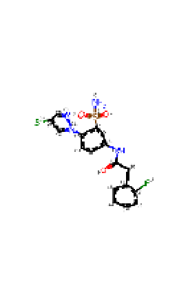 NS(=O)(=O)c1cc(NC(=O)Cc2ccccc2F)ccc1-n1cc(Br)cn1